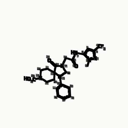 Cn1nc(C(F)(F)F)cc1NC(=O)CN1CN(c2ccccc2)C2(CCN(C(=O)O)CC2)C1=O